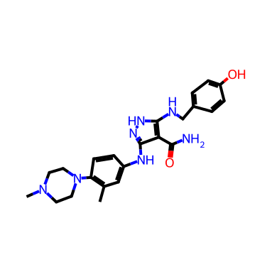 Cc1cc(Nc2n[nH]c(NCc3ccc(O)cc3)c2C(N)=O)ccc1N1CCN(C)CC1